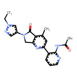 Cc1cc(-c2cccnc2NC(=O)C(C)(C)C)nc2c1C(=O)N(c1cnn(CC(F)(F)F)c1)C2